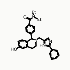 CCN(CC)C(=O)c1ccc(C2c3ccc(O)cc3CCN2Cc2cnc(-c3ccccc3)[nH]2)cc1